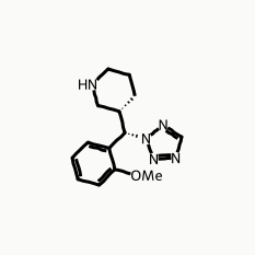 COc1ccccc1[C@H]([C@H]1CCCNC1)n1ncnn1